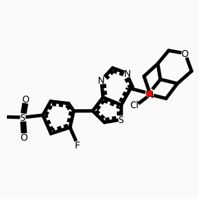 CS(=O)(=O)c1ccc(-c2csc3c(OC4C5COCC4CN(Cl)C5)ncnc23)c(F)c1